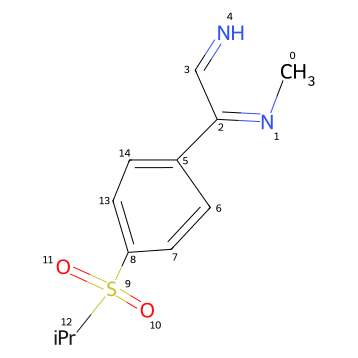 C/N=C(\C=N)c1ccc(S(=O)(=O)C(C)C)cc1